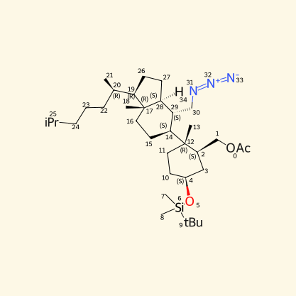 CC(=O)OC[C@H]1C[C@@H](O[Si](C)(C)C(C)(C)C)CC[C@]1(C)[C@H]1CC[C@]2(C)[C@@H]([C@H](C)CCCC(C)C)CC[C@H]2[C@@H]1CN=[N+]=[N-]